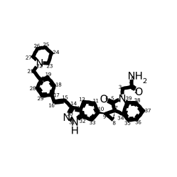 NC(=O)CN1C(=O)[C@@]2(C[C@H]2c2ccc3c(/C=C/c4ccc(CN5CCCCC5)cc4)n[nH]c3c2)c2ccccc21